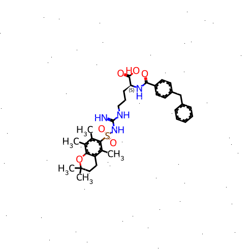 Cc1c(C)c(S(=O)(=O)NC(=N)NCCC[C@H](NC(=O)c2ccc(Cc3ccccc3)cc2)C(=O)O)c(C)c2c1OC(C)(C)CC2